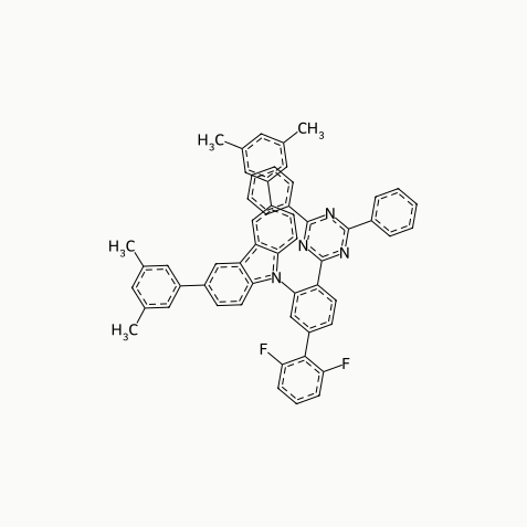 Cc1cc(C)cc(-c2ccc3c(c2)c2cc(-c4cc(C)cc(C)c4)ccc2n3-c2cc(-c3c(F)cccc3F)ccc2-c2nc(-c3ccccc3)nc(-c3ccccc3)n2)c1